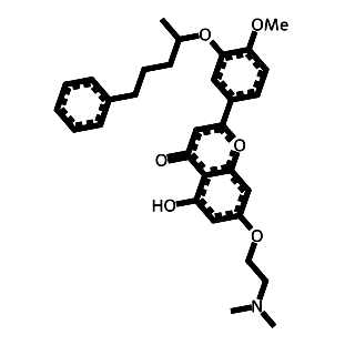 COc1ccc(-c2cc(=O)c3c(O)cc(OCCN(C)C)cc3o2)cc1OC(C)CCCc1ccccc1